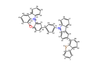 c1ccc2c(c1)sc1c(-c3ccc4c(c3)c3ccccc3n4-c3ccc(-c4ccc5c(c4)-n4c6ccccc6c6cccc(c64)O5)cc3)cccc12